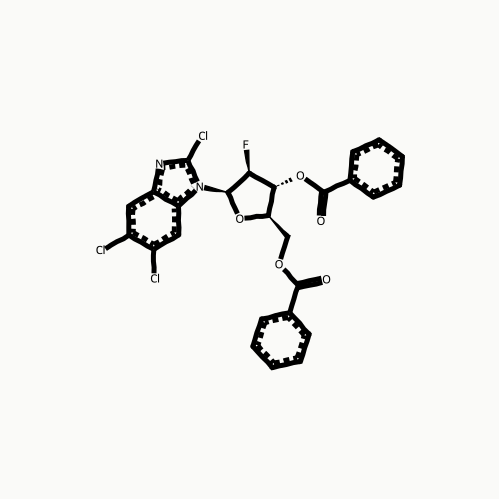 O=C(OC[C@H]1O[C@@H](n2c(Cl)nc3cc(Cl)c(Cl)cc32)[C@@H](F)[C@@H]1OC(=O)c1ccccc1)c1ccccc1